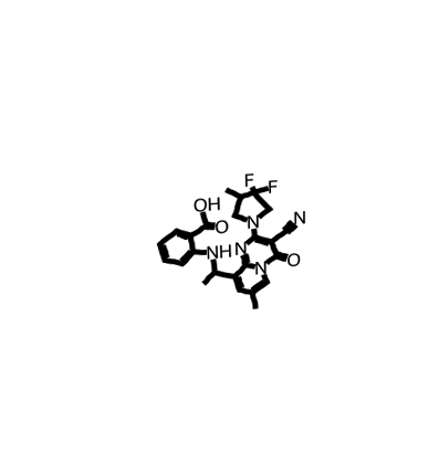 Cc1cc(C(C)Nc2ccccc2C(=O)O)c2nc(N3CC(C)C(F)(F)C3)c(C#N)c(=O)n2c1